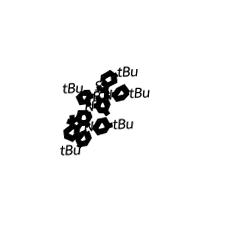 Cc1cc2c3c(c1)N(c1ccc(C(C)(C)C)cc1)c1c(sc4ccc(C(C)(C)C)cc14)B3c1cc(C(C)(C)C)ccc1N2c1cc(N(c2ccc(C(C)(C)C)cc2)c2ccc(C(C)(C)C)cc2)c2c(c1)C(C)(C)c1ccccc1-2